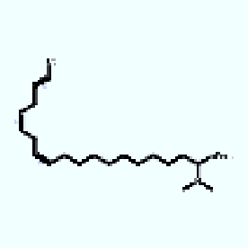 CC/C=C/C/C=C\C/C=C\CCCCCCCCCC(CCCCC)N(C)C